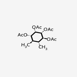 CC(=O)O[C@@H]1[C@H](OC(C)=O)[C@@H](OC(C)=O)[C@H](C)[C@@H](C)[C@@H]1OC(C)=O